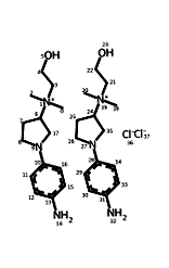 C[N+](C)(CCO)C1CCN(c2ccc(N)cc2)C1.C[N+](C)(CCO)C1CCN(c2ccc(N)cc2)C1.[Cl-].[Cl-]